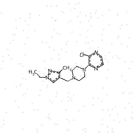 CCn1cc(CN2CCN(c3nccnc3Cl)CC2)c(C)n1